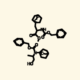 CC(CO)N(C(=O)OCc1ccccc1)C12CCC(CC1)CC2.COC(=O)C(CC12CCC(CC1)CC2)NC(=O)OCc1ccccc1